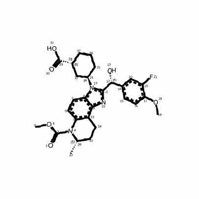 COC(=O)N1c2ccc3c(nc([C@H](O)c4ccc(OC)c(F)c4)n3[C@@H]3CCC[C@@H](C(=O)O)C3)c2CC[C@@H]1C